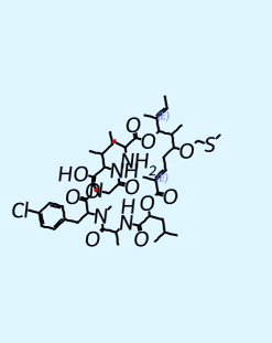 C/C=C(\C)C(OC(=O)C(C)N)C(C)C(C/C=C(\C)C(=O)OC(CC(C)C)C(=O)NC(C)C(=O)N(C)C(Cc1ccc(Cl)cc1)C(=O)N(C)CC(=O)NC(C(=O)O)C(C)CC)OCSC